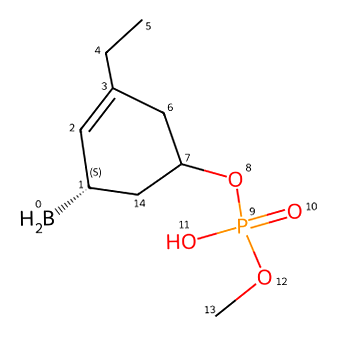 B[C@@H]1C=C(CC)CC(OP(=O)(O)OC)C1